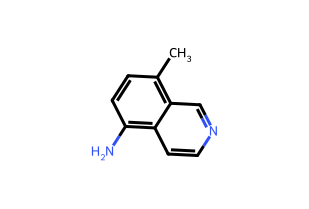 Cc1ccc(N)c2ccncc12